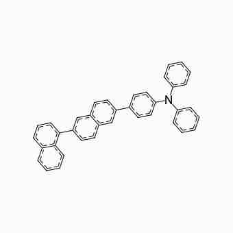 c1ccc(N(c2ccccc2)c2ccc(-c3ccc4cc(-c5cccc6ccccc56)ccc4c3)cc2)cc1